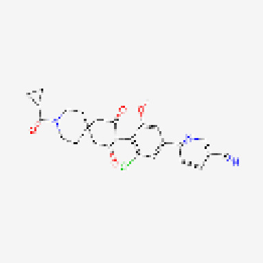 COc1cc(-c2ccc(C#N)cn2)cc(Cl)c1C1C(=O)CC2(CCN(C(=O)C3CC3)CC2)CC1=O